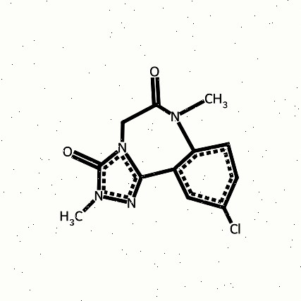 CN1C(=O)Cn2c(nn(C)c2=O)-c2cc(Cl)ccc21